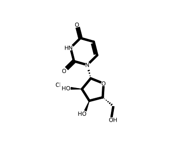 O=c1ccn([C@@H]2O[C@H](CO)[C@@H](O)[C@H]2O)c(=O)[nH]1.[C]